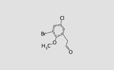 COc1c(Br)cc(Cl)cc1CC=O